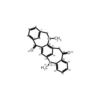 CN1Cc2cccc(c2)C(=O)c2cc3cc(c21)CC(=O)c1ccccc1N3C